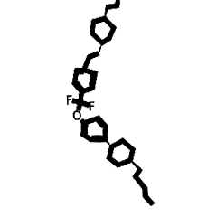 CCCCC[C@H]1CC[C@H](c2ccc(OC(F)(F)c3ccc(CC[C@H]4CC[C@H](CCC)CC4)cc3)cc2)CC1